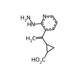 C=C(c1cccnc1NN)C1CC1C(=O)O